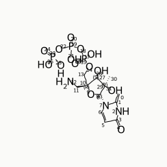 C=C1NC(=O)C=CN1[C@@H]1O[C@](CN)(COP(=O)(O)OP(=O)(O)OP(=O)(O)O)[C@@H](O)[C@@]1(C)O